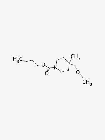 CCCCOC(=O)N1CCC(C)(COCC)CC1